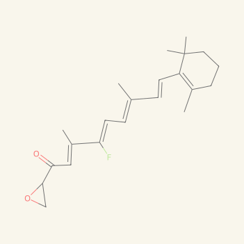 CC1=C(/C=C/C(C)=C/C=C(F)/C(C)=C/C(=O)C2CO2)C(C)(C)CCC1